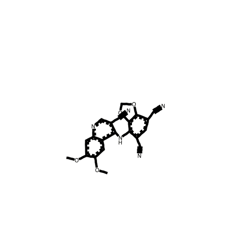 COc1cc2ncc(C#N)c(Nc3c(C#N)cc(C#N)c4c3OCO4)c2cc1OC